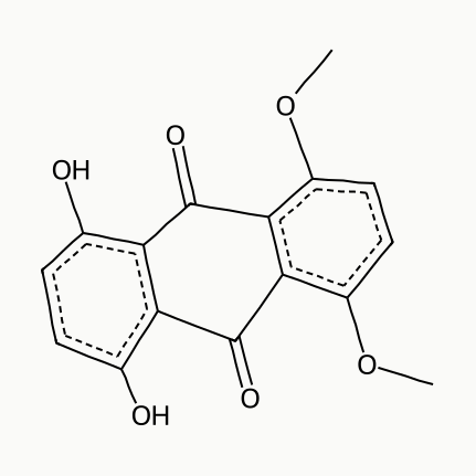 COc1ccc(OC)c2c1C(=O)c1c(O)ccc(O)c1C2=O